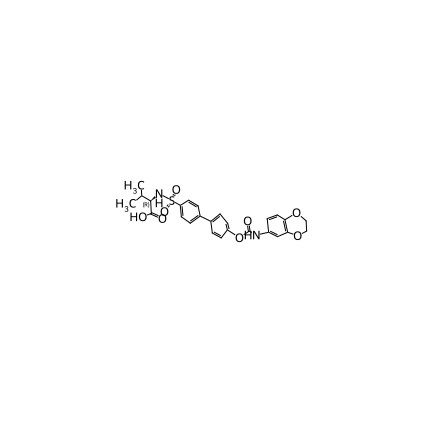 CC(C)[C@@H](NS(=O)(=O)c1ccc(-c2ccc(OC(=O)Nc3ccc4c(c3)OCCO4)cc2)cc1)C(=O)O